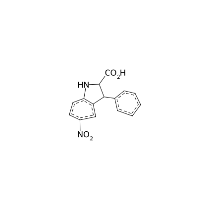 O=C(O)C1Nc2ccc([N+](=O)[O-])cc2C1c1ccccc1